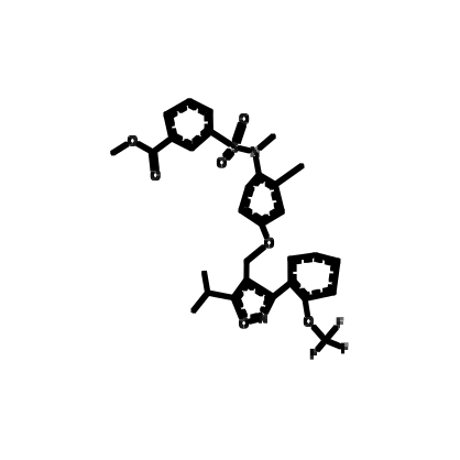 COC(=O)c1cccc(S(=O)(=O)N(C)c2ccc(OCc3c(-c4ccccc4OC(F)(F)F)noc3C(C)C)cc2C)c1